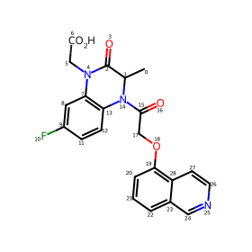 CC1C(=O)N(CC(=O)O)c2cc(F)ccc2N1C(=O)COc1cccc2cnccc12